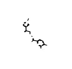 COc1nc(/C(N)=N/OCC(=O)c2cnn(C)c2)ccc1Br